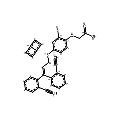 C#Cc1ccccc1C(=CCSc1ccc(OCC(=O)O)c(Br)c1)c1ccccc1C#C.c1cc2ccc1-2